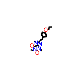 CCCOc1ccc(/C=C/c2nc3c(c(=O)n(CC)c(=O)n3CC)n2C)cc1